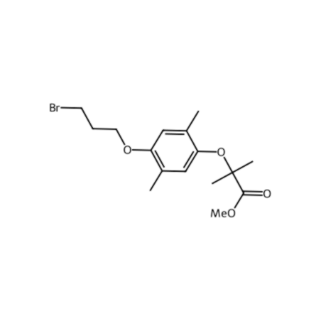 COC(=O)C(C)(C)Oc1cc(C)c(OCCCBr)cc1C